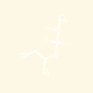 OCC(OC(F)(F)C(F)(F)C(F)(F)F)C(F)(F)F